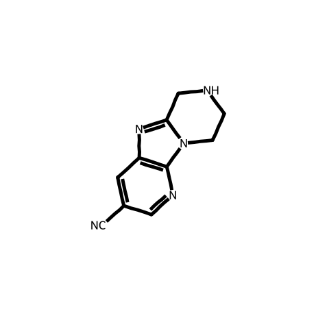 N#Cc1cnc2c(c1)nc1n2CCNC1